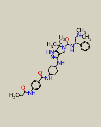 C=CC(=O)Nc1ccc(C(=O)NC2CCC(Nc3n[nH]c4c3CN(C(=O)NC(CN(C)C)c3ccccc3)C4(C)C)CC2)cc1